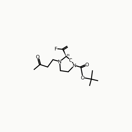 C=C(F)[C@H]1CN(C(=O)OC(C)(C)C)CCN1CCC(C)=O